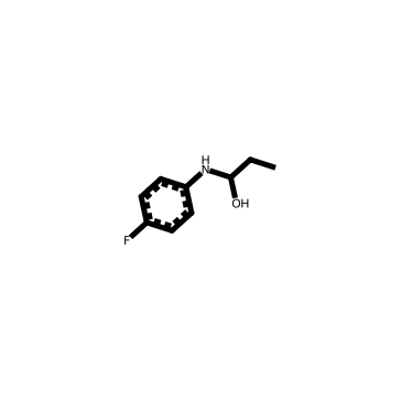 CCC(O)Nc1ccc(F)cc1